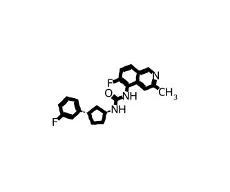 Cc1cc2c(NC(=O)N[C@@H]3CC[C@H](c4cccc(F)c4)C3)c(F)ccc2cn1